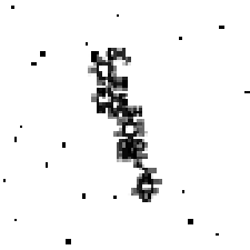 Cc1cc(Nc2ncnc3nc(Nc4ccc(S(=O)(=O)NCCCN5CCOCC5)cc4)sc23)ccc1F